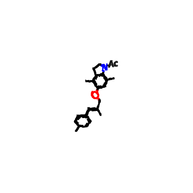 CC(=O)N1CCc2c(C)c(OCC(C)=Cc3ccc(C)cc3)cc(C)c21